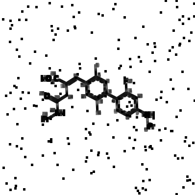 Cc1cc(-c2ccc(NC(C)C)cc2F)c(C)cc1/C=C(\CC(=O)NC(C)C)C(=O)O